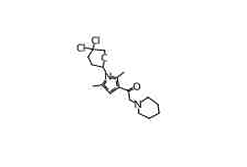 Cc1cc(C(=O)CN2CCCCC2)c(C)n1C1CCC(Cl)(Cl)CC1